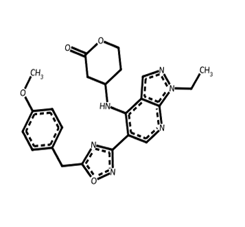 CCn1ncc2c(NC3CCOC(=O)C3)c(-c3noc(Cc4ccc(OC)cc4)n3)cnc21